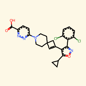 O=C(O)c1ccc(N2CCC3(C=C(c4c(-c5c(Cl)cccc5Cl)noc4C4CC4)C3)CC2)nn1